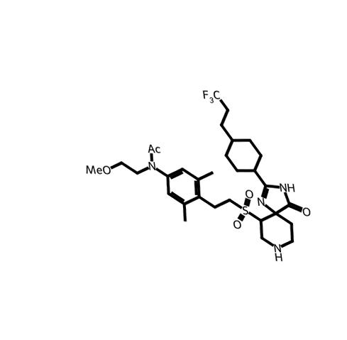 COCCN(C(C)=O)c1cc(C)c(CCS(=O)(=O)C2CNCCC23N=C(C2CCC(CCC(F)(F)F)CC2)NC3=O)c(C)c1